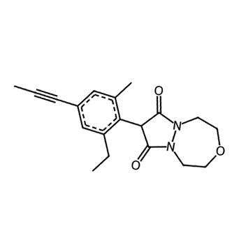 CC#Cc1cc(C)c(C2C(=O)N3CCOCCN3C2=O)c(CC)c1